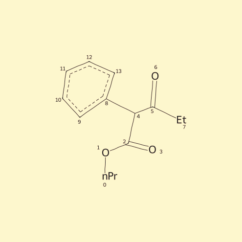 CCCOC(=O)C(C(=O)CC)c1ccccc1